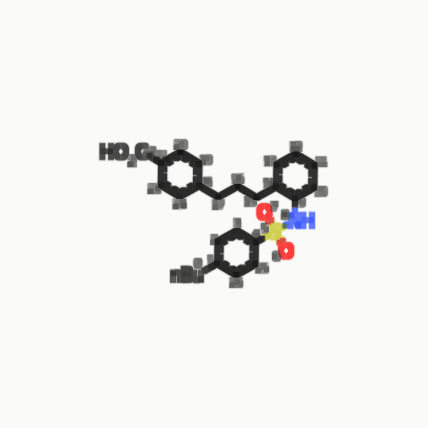 CCCCc1ccc(S(=O)(=O)Nc2ccccc2CCCc2ccc(C(=O)O)cc2)cc1